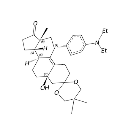 CCN(CC)c1ccc([C@H]2C[C@@]3(C)C(=O)CC[C@H]3[C@@H]3CC[C@@]4(O)CC5(CCC4=C32)OCC(C)(C)CO5)cc1